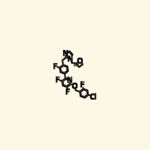 Fc1cc(Cl)ccc1COc1nc(-c2ccc(Cc3nccn3C[C@@H]3CCO3)c(F)c2)c(F)cc1F